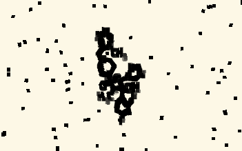 C[C@H]([C@](O)(Cn1cncn1)c1ccc(F)cc1F)S(=O)(=O)N1CCN(Cc2nncn2C)CC1